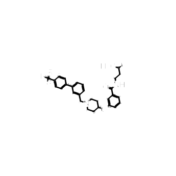 CC(C)CCNC(=O)c1cccc(OC2CCN(Cc3cccc(-c4ccc(C(F)(F)F)cc4)c3)CC2)c1